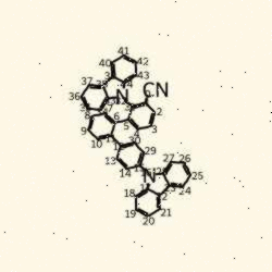 N#Cc1cccc(-c2ccccc2-c2ccc(-n3c4ccccc4c4ccccc43)cc2)c1-n1c2ccccc2c2ccccc21